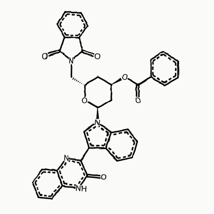 O=C(O[C@@H]1C[C@@H](CN2C(=O)c3ccccc3C2=O)O[C@H](n2cc(-c3nc4ccccc4[nH]c3=O)c3ccccc32)C1)c1ccccc1